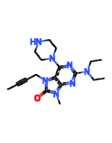 CC#CCn1c(=O)n(C)c2nc(N(CC)CC)nc(N3CCNCC3)c21